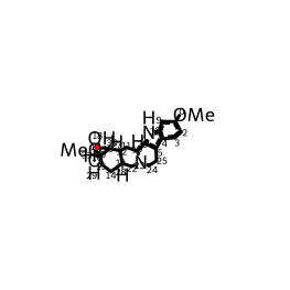 COc1ccc2c3c([nH]c2c1)[C@H]1C[C@H]2[C@H](C[C@H]4OC(=O)[C@@H]2[C@H]4OC)CN1CC3